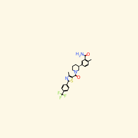 Cc1ccc([C@@H]2CCCN(C(=O)c3sc(-c4ccc(C(F)(F)F)cc4)nc3C)C2)cc1C(N)=O